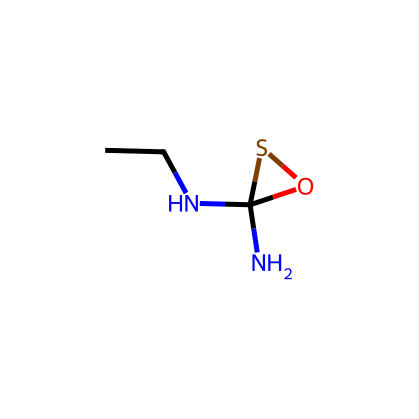 CCNC1(N)OS1